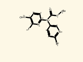 CC(C)(C)OC(=O)N(c1ccc(Br)nc1)c1ccc(C=O)c(F)n1